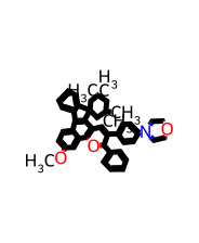 COc1ccc2c3c(c4c(c2c1)OC(c1ccccc1)C(c1ccc(N2CCOCC2)cc1)=C4)C1(CC(C)(C)CC(C)(C)C1)c1ccccc1-3